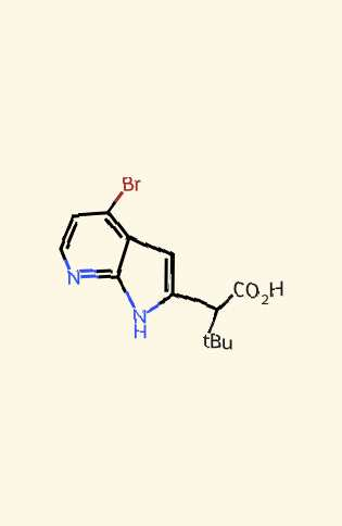 CC(C)(C)C(C(=O)O)c1cc2c(Br)ccnc2[nH]1